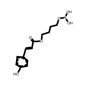 O=C(/C=C/c1ccc(O)cc1)OCCCCON(O)O